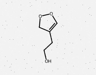 OCCC1=COOC1